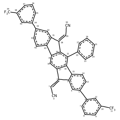 N#C/C=C1\c2cc(-c3cccc(C(F)(F)F)c3)ccc2-c2c1cc1c(c2-c2ccccc2)/C(=C/C#N)c2cc(-c3cccc(C(F)(F)F)c3)ccc2-1